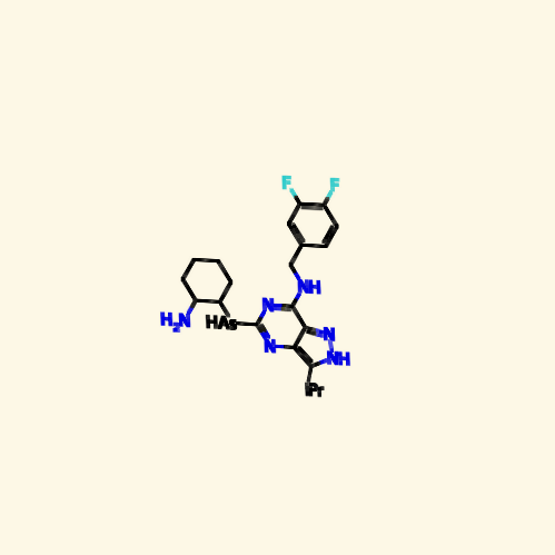 CC(C)c1[nH]nc2c(NCc3ccc(F)c(F)c3)nc([AsH]C3CCCCC3N)nc12